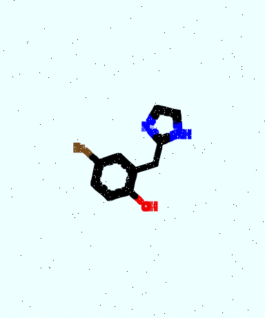 Oc1ccc(Br)cc1Cc1ncc[nH]1